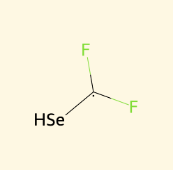 F[C](F)[SeH]